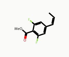 C/C=C\c1cc(F)c(C(=O)OC)c(F)c1